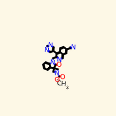 COC(=O)N1CC2(C1)C(=O)N(Cc1ncc3cc(C#N)ccc3c1-c1cncnc1)c1ccccc12